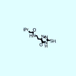 CC(C)CC(=O)NCCc1nnc(S)[nH]c1=O